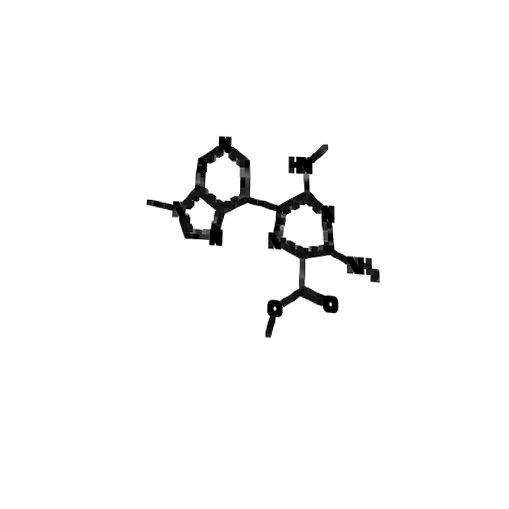 CNc1nc(N)c(C(=O)OC)nc1-c1cncc2c1ncn2C